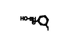 OBOc1cccc(I)c1